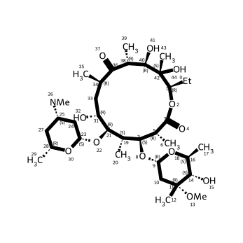 CC[C@H]1OC(=O)[C@H](C)[C@@H](O[C@H]2C[C@@](C)(OC)[C@@H](O)[C@H](C)O2)[C@H](C)[C@@H](O[C@H]2C[C@@H](NC)C[C@@H](C)O2)[C@H](O)C[C@@H](C)C(=O)[C@H](C)[C@@H](O)[C@]1(C)O